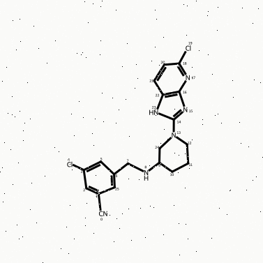 N#Cc1cc(Cl)cc(CNC2CCCN(c3nc4nc(Cl)ccc4[nH]3)C2)c1